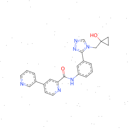 O=C(Nc1cccc(-c2nncn2CC2(O)CC2)c1)c1cc(-c2cccnc2)ccn1